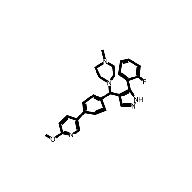 COc1ccc(-c2ccc(C(c3cn[nH]c3-c3ccccc3F)N3CCN(C)CC3)cc2)cn1